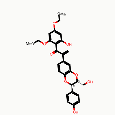 C=C(C(=O)c1c(O)cc(OCOC)cc1OCOC)c1ccc2c(c1)O[C@H](CO)[C@@H](c1ccc(O)cc1)O2